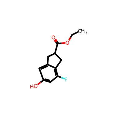 CCOC(=O)C1Cc2cc(O)cc(F)c2C1